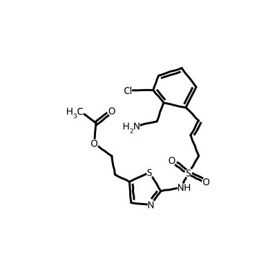 CC(=O)OCCc1cnc(NS(=O)(=O)CC=Cc2cccc(Cl)c2CN)s1